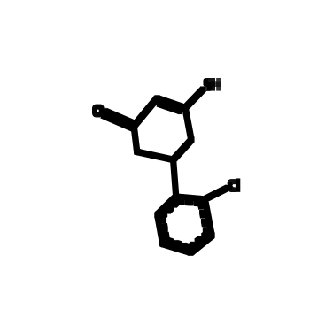 O=C1C=C(S)CC(c2ccccc2Cl)C1